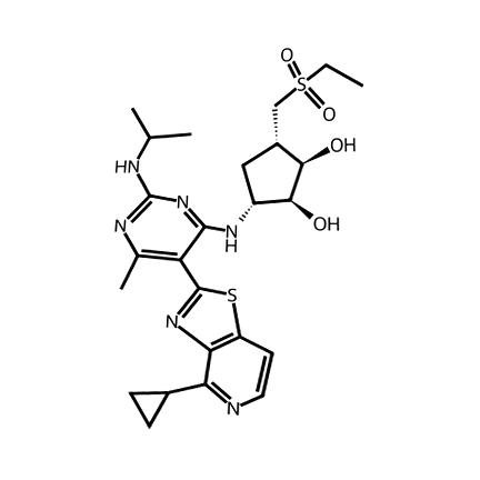 CCS(=O)(=O)C[C@H]1C[C@@H](Nc2nc(NC(C)C)nc(C)c2-c2nc3c(C4CC4)nccc3s2)[C@H](O)[C@@H]1O